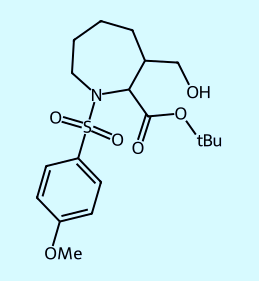 COc1ccc(S(=O)(=O)N2CCCCC(CO)C2C(=O)OC(C)(C)C)cc1